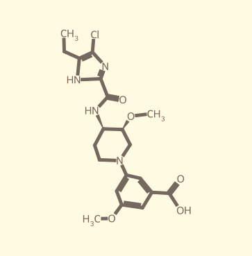 CCc1[nH]c(C(=O)N[C@@H]2CCN(c3cc(OC)cc(C(=O)O)c3)C[C@@H]2OC)nc1Cl